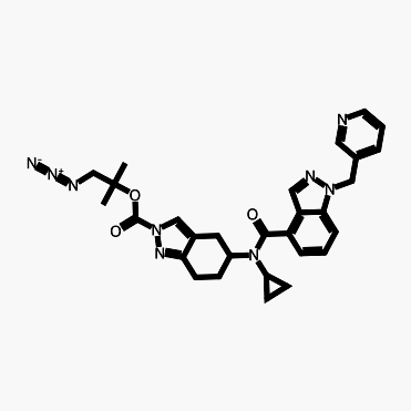 CC(C)(CN=[N+]=[N-])OC(=O)n1cc2c(n1)CCC(N(C(=O)c1cccc3c1cnn3Cc1cccnc1)C1CC1)C2